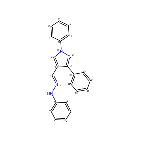 C(=N\Nc1ccccc1)/c1cn(-c2ccccc2)nc1-c1ccccc1